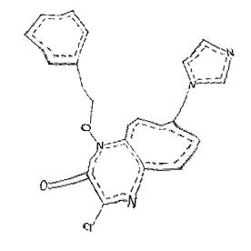 O=c1c(Cl)nc2ccc(-n3ccnc3)cc2n1OCc1ccccc1